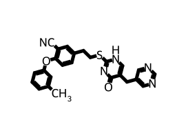 Cc1cccc(Oc2ccc(CCSc3nc(=O)c(Cc4cncnc4)c[nH]3)cc2C#N)c1